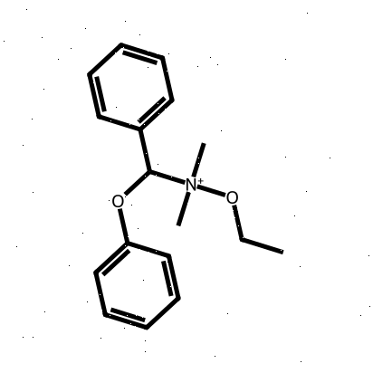 CCO[N+](C)(C)C(Oc1ccccc1)c1ccccc1